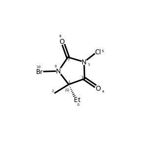 CC[C@@]1(C)C(=O)N(Cl)C(=O)N1Br